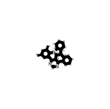 Cc1cc(C)c2c(c1)c1ncnc3c4ccccc4c4c5ccccc5n2c4c31